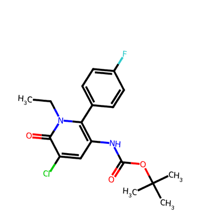 CCn1c(-c2ccc(F)cc2)c(NC(=O)OC(C)(C)C)cc(Cl)c1=O